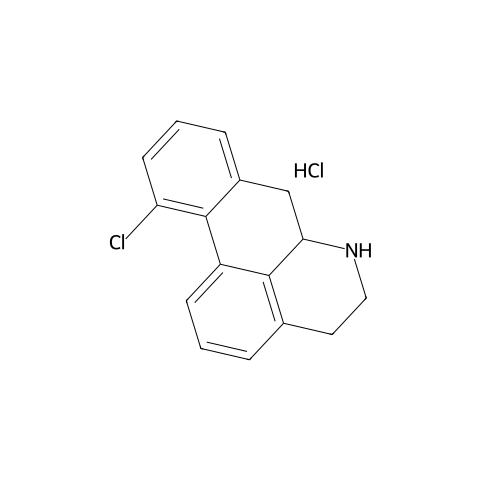 Cl.Clc1cccc2c1-c1cccc3c1C(C2)NCC3